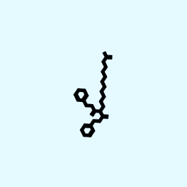 C=C(C)CCCCCCCCCCC(C(=C)CCC1=CCCC=C1)C(=C)CCC1=CCCC=C1